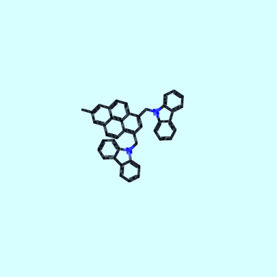 Cc1cc2ccc3c(Cn4c5ccccc5c5ccccc54)cc(Cn4c5ccccc5c5ccccc54)c4ccc(c1)c2c34